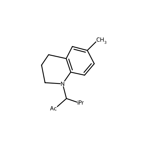 CC(=O)C(C(C)C)N1CCCc2cc(C)ccc21